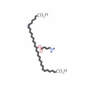 CN(C)CCCC(=O)OC(CCCCCCCC/C=C\CCCCC(=O)O)CCCCCCCC/C=C\CCCCC(=O)O